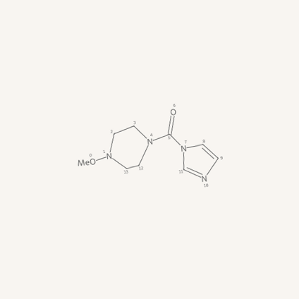 CON1CCN(C(=O)n2ccnc2)CC1